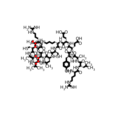 CC[C@H](C)[C@H](NC(=O)[C@H](CC(C)C)NC(=O)[C@H](CS)NC(=O)[C@H](CCCCN)NC(=O)[C@H](CCC(=O)O)NC(=O)[C@H](CCC(=O)O)NC(=O)[C@H](Cc1ccc(O)cc1)NC(=O)[C@H](C)NC(=O)[C@H](CC(C)C)NC(=O)[C@@H](N)CCCNC(=N)N)C(=O)N[C@@H](CC(C)C)C(=O)N[C@@H](CCCNC(=N)N)C(=O)N[C@@H](CS)C(=O)N[C@@H](C)C(=O)N[C@H](C(=O)O)C(C)C